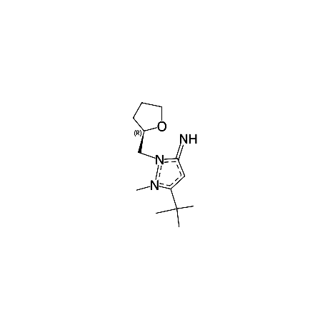 Cn1c(C(C)(C)C)cc(=N)n1C[C@H]1CCCO1